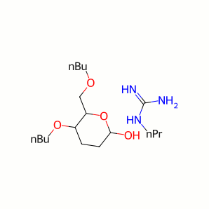 CCCCOCC1OC(O)CCC1OCCCC.CCCNC(=N)N